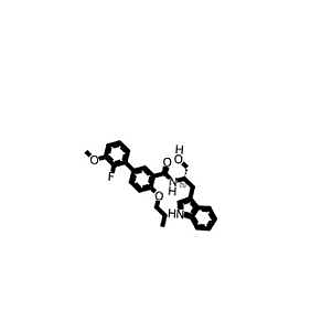 CCCOc1ccc(-c2cccc(OC)c2F)cc1C(=O)N[C@H](CO)Cc1c[nH]c2ccccc12